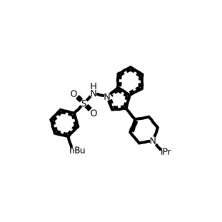 CCCCc1cccc(S(=O)(=O)Nn2cc(C3=CCN(C(C)C)CC3)c3ccccc32)c1